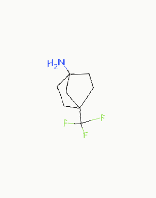 NC12CCC(C(F)(F)F)(CC1)C2